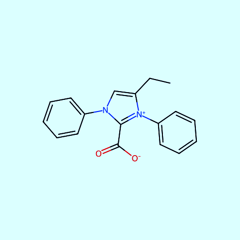 CCc1cn(-c2ccccc2)c(C(=O)[O-])[n+]1-c1ccccc1